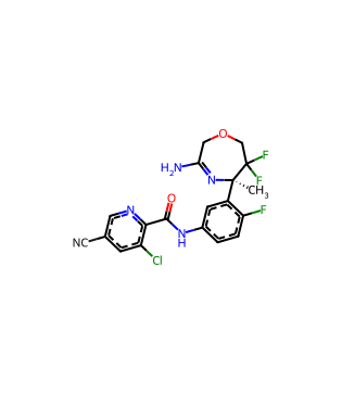 C[C@]1(c2cc(NC(=O)c3ncc(C#N)cc3Cl)ccc2F)N=C(N)COCC1(F)F